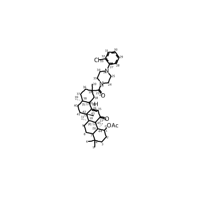 CC(=O)OC1CCC(C)(C)C2CC[C@]3(C)C(C(=O)C=C4[C@@H]5CC(C)(C(=O)N6CCN(c7ccccc7Cl)CC6)CC[C@]5(C)CC[C@]43C)[C@@]12C